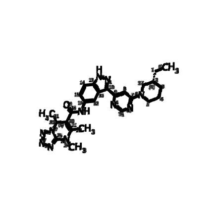 CC[C@@H]1CCCN(c2cc(-c3n[nH]c4ccc(NC(=O)C5=C(C)N(C)c6nnnn6[C@H]5C)cc34)ncn2)C1